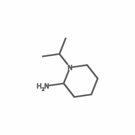 CC(C)N1CCCCC1N